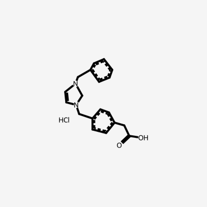 Cl.O=C(O)Cc1ccc(CN2C=CN(Cc3ccccc3)C2)cc1